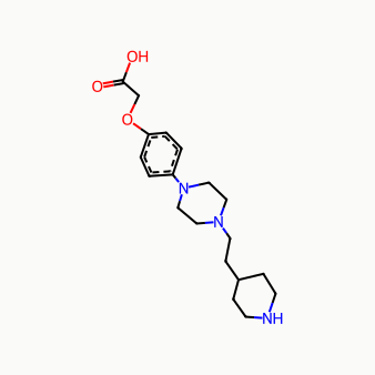 O=C(O)COc1ccc(N2CCN(CCC3CCNCC3)CC2)cc1